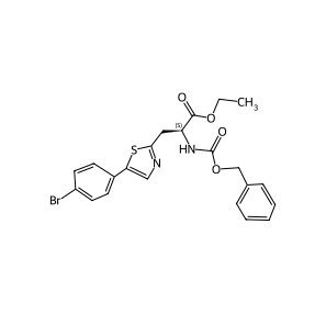 CCOC(=O)[C@H](Cc1ncc(-c2ccc(Br)cc2)s1)NC(=O)OCc1ccccc1